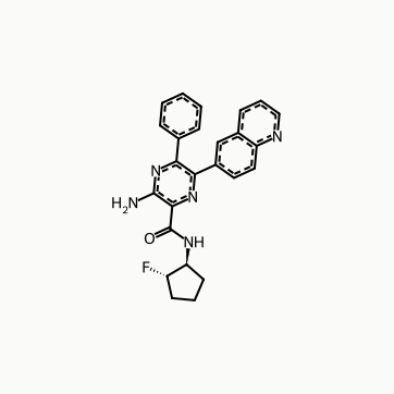 Nc1nc(-c2ccccc2)c(-c2ccc3ncccc3c2)nc1C(=O)N[C@H]1CCC[C@@H]1F